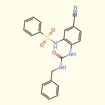 N#Cc1ccc(NC(=O)NCc2ccccc2)c(NS(=O)(=O)c2ccccc2)c1